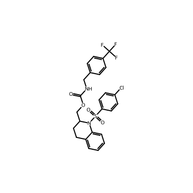 O=C(NCc1ccc(C(F)(F)F)cc1)OCC1CCc2ccccc2N1S(=O)(=O)c1ccc(Cl)cc1